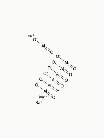 [Ba+2].[Eu+3].[Mg+2].[O]=[Al][O-].[O]=[Al][O-].[O]=[Al][O-].[O]=[Al][O-].[O]=[Al][O-].[O]=[Al][O-].[O]=[Al][O-]